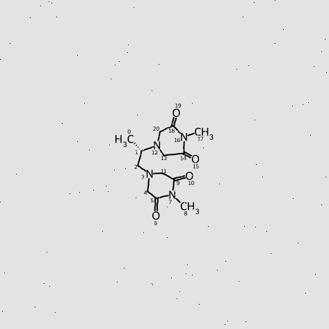 C[C@@H](CN1CC(=O)N(C)C(=O)C1)N1CC(=O)N(C)C(=O)C1